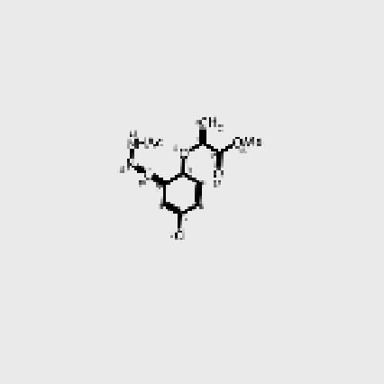 C=C(OC1C=CC(Cl)=CC1=C=NNC(C)=O)C(=O)OC